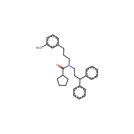 CC(=O)Oc1cccc(CCCN(CCC(c2ccccc2)c2ccccc2)C(=O)C2CCCC2)c1